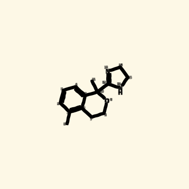 Cc1cccc2c1CCOC2(C)C1=NCCN1